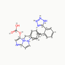 CCCN1C=CC2=NC=C(OC(=O)O)[N+]21Cc1ccc(-c2ccccc2-c2nnn[nH]2)cc1